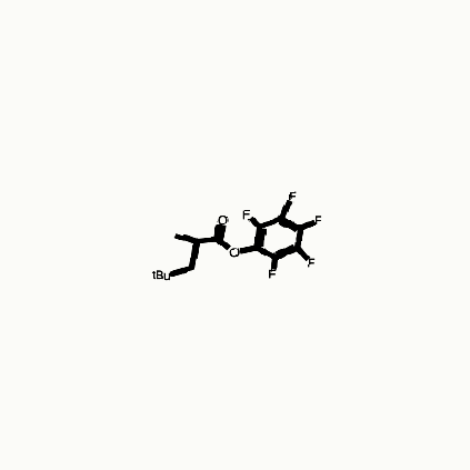 CC(CC(C)(C)C)C(=O)Oc1c(F)c(F)c(F)c(F)c1F